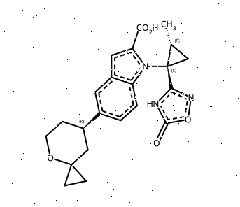 C[C@@H]1C[C@]1(c1noc(=O)[nH]1)n1c(C(=O)O)cc2cc([C@@H]3CCOC4(CC4)C3)ccc21